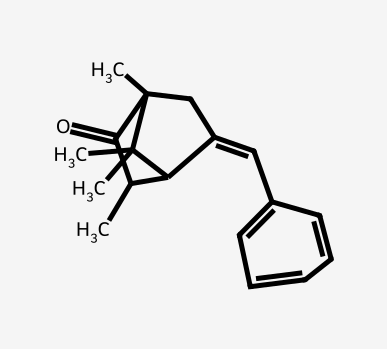 CC1C(=O)C2(C)CC(=Cc3ccccc3)C1C2(C)C